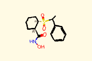 CC(c1ccccc1)S(=O)(=O)[C@H]1CCCC[C@@H]1C(=O)NO